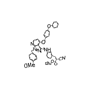 COc1ccc(Cn2nc(Nc3cccc(C=C(C#N)C(=O)OC(C)(C)C)c3)c3c(Oc4ccc(Oc5ccccc5)cc4)ccnc32)cc1